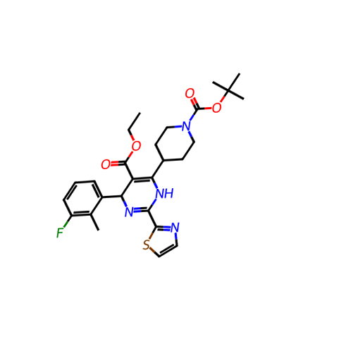 CCOC(=O)C1=C(C2CCN(C(=O)OC(C)(C)C)CC2)NC(c2nccs2)=NC1c1cccc(F)c1C